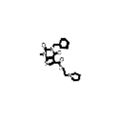 Cn1c(=O)n(Cc2ccccc2)c(=O)c2c(C(=O)OCCN3CCCC3)csc21